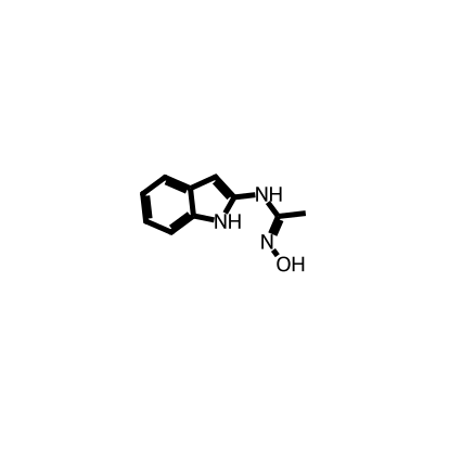 CC(=NO)Nc1cc2ccccc2[nH]1